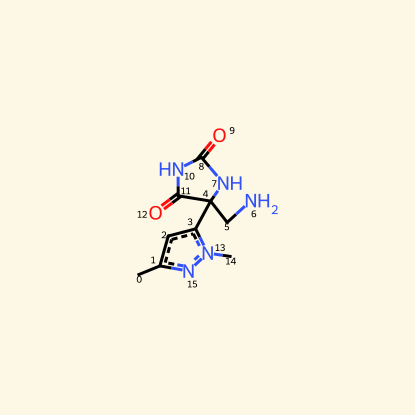 Cc1cc(C2(CN)NC(=O)NC2=O)n(C)n1